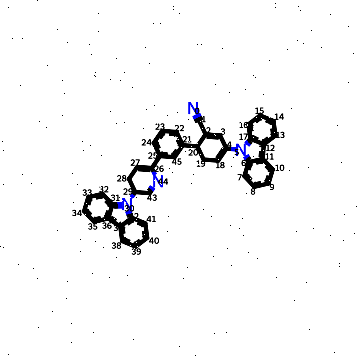 N#CC1=CC(n2c3ccccc3c3ccccc32)=CCC1c1cccc(C2=CCC(n3c4ccccc4c4ccccc43)C=N2)c1